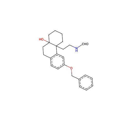 O=CNCCC12CCCCC1(O)CCc1ccc(OCc3ccccc3)cc12